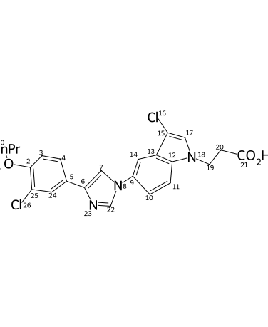 CCCOc1ccc(-c2cn(-c3ccc4c(c3)c(Cl)cn4CCC(=O)O)cn2)cc1Cl